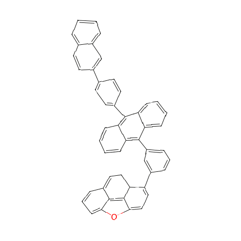 C1=C(c2cccc(-c3c4ccccc4c(-c4ccc(-c5ccc6ccccc6c5)cc4)c4ccccc34)c2)C2CC=c3cccc4oc(c2c34)=C1